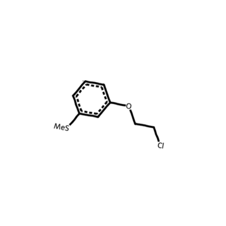 CSc1c[c]cc(OCCCl)c1